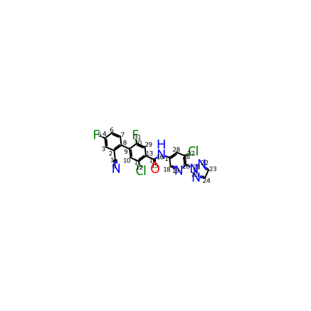 N#Cc1cc(F)ccc1-c1cc(Cl)c(C(=O)Nc2cnc(-n3nccn3)c(Cl)c2)cc1F